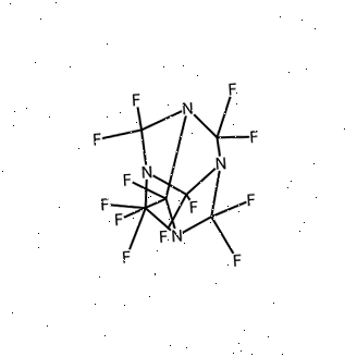 FC1(F)N2C(F)(F)N3C(F)(F)N1C(F)(F)N(C2(F)F)C3(F)F